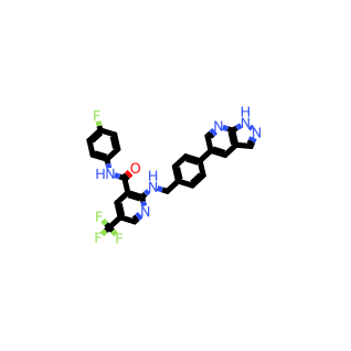 O=C(Nc1ccc(F)cc1)c1cc(C(F)(F)F)cnc1NCc1ccc(-c2cnc3[nH]ncc3c2)cc1